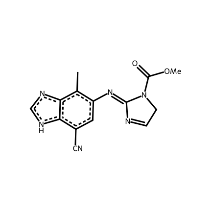 COC(=O)N1CC=NC1=Nc1cc(C#N)c2[nH]cnc2c1C